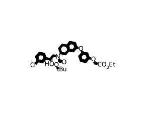 CCOC(=O)COc1cccc(Oc2ccc3c(c2)C[C@@H](N(C[C@@H](O)c2cccc(Cl)c2)C(=O)OC(C)(C)C)CC3)c1